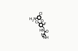 Nc1cc(Cl)cc(Oc2c(Cl)ccc(CNC(=O)c3c[nH]cn3)c2F)c1